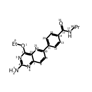 CCOc1nc(N)nc2ccc(-c3ccc(C(=O)NC(C)C)cc3)nc12